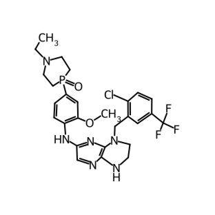 CCN1CCP(=O)(c2ccc(Nc3cnc4c(n3)N(Cc3cc(C(F)(F)F)ccc3Cl)CCN4)c(OC)c2)CC1